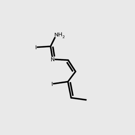 C\C=C(I)/C=C\N=C(/N)I